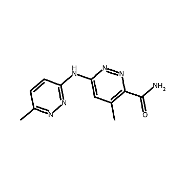 Cc1ccc(Nc2cc(C)c(C(N)=O)nn2)nn1